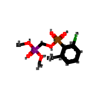 CCOP(=O)(COS(=O)(=O)c1c(F)cccc1C(F)(F)F)OC(C)C